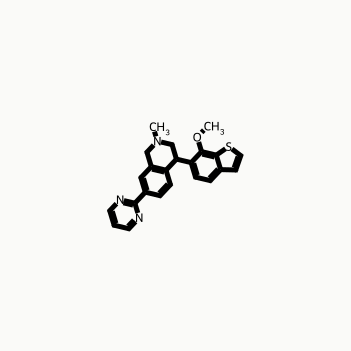 COc1c(C2CN(C)Cc3cc(-c4ncccn4)ccc32)ccc2ccsc12